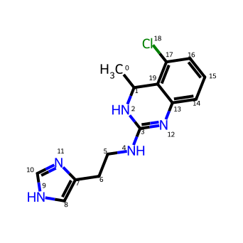 CC1NC(NCCc2c[nH]cn2)=Nc2cccc(Cl)c21